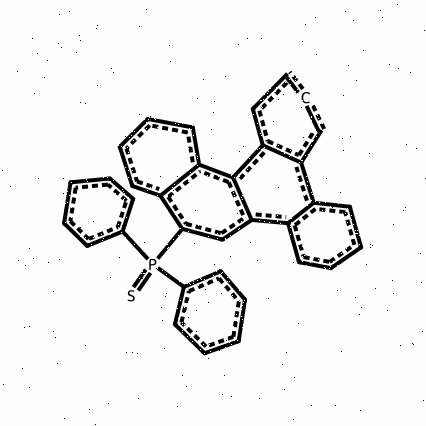 S=P(c1ccccc1)(c1ccccc1)c1cc2c3ccccc3c3ccccc3c2c2ccccc12